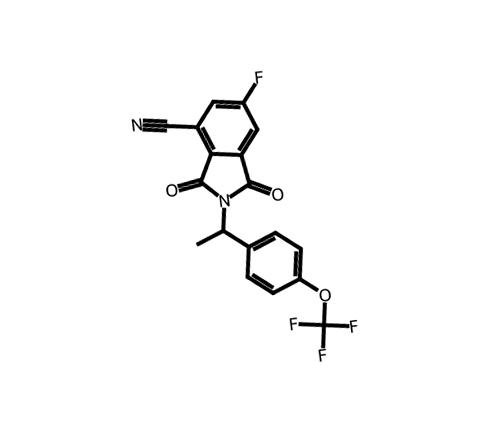 CC(c1ccc(OC(F)(F)F)cc1)N1C(=O)c2cc(F)cc(C#N)c2C1=O